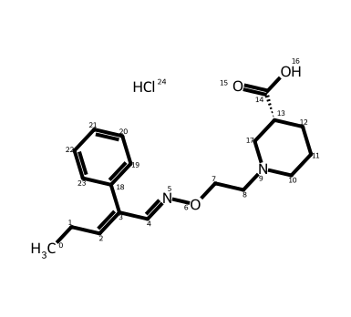 CC/C=C(/C=N/OCCN1CCC[C@@H](C(=O)O)C1)c1ccccc1.Cl